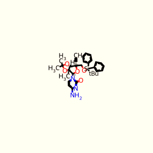 C#C[C@]1(CO[Si](c2ccccc2)(c2ccccc2)C(C)(C)C)O[C@@H](n2ccc(N)nc2=O)[C@]2(C)OC(C)(C)O[C@@H]21